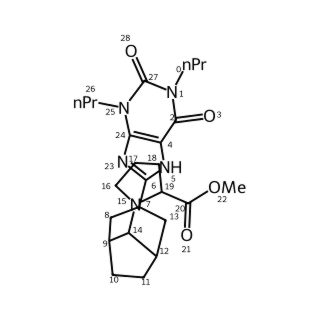 CCCn1c(=O)c2[nH]c(C3CC4CCC(C3)C4N3CCCC3C(=O)OC)nc2n(CCC)c1=O